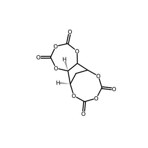 O=C1OC(=O)O[C@@H]2CC(O1)C1OC(=O)OC(=O)O[C@@H]12